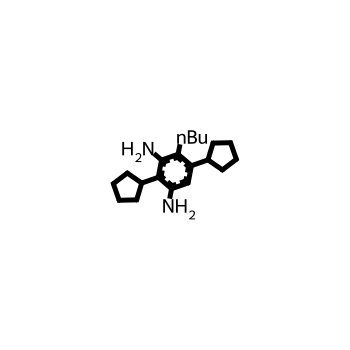 CCCCc1c(C2CCCC2)cc(N)c(C2CCCC2)c1N